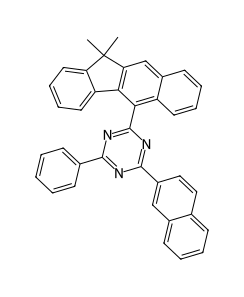 CC1(C)c2ccccc2-c2c1cc1ccccc1c2-c1nc(-c2ccccc2)nc(-c2ccc3ccccc3c2)n1